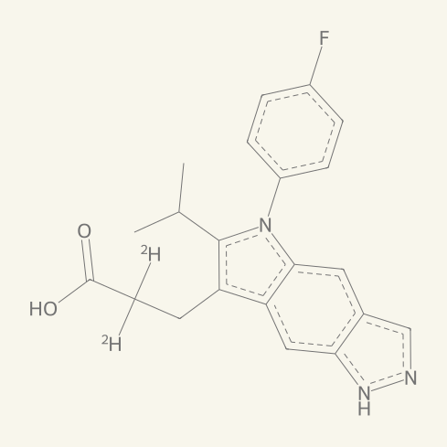 [2H]C([2H])(Cc1c(C(C)C)n(-c2ccc(F)cc2)c2cc3cn[nH]c3cc12)C(=O)O